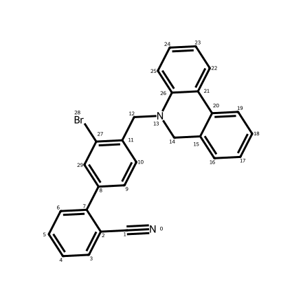 N#Cc1ccccc1-c1ccc(CN2Cc3ccccc3-c3ccccc32)c(Br)c1